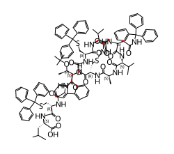 CC(=O)NCSC[C@H](NC(=O)[C@H](C)NC(=O)[C@@H](NC(=O)[C@H](CC(=O)NC(c1ccccc1)(c1ccccc1)c1ccccc1)NC(=O)[C@@H](NC(=O)[C@H](CSC(c1ccccc1)(c1ccccc1)c1ccccc1)NC(=O)OCC1c2ccccc2-c2ccccc21)C(C)C)C(C)C)C(=O)N[C@H](C(=O)NCC(=O)N[C@@H](CSC(c1ccccc1)(c1ccccc1)c1ccccc1)C(=O)N[C@@H](CC(C)C)C(=O)O)[C@@H](C)OC(C)(C)C